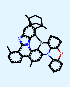 Cc1cccc2c1c1nc3cc4c(c5c3n1c1c3c(cc(C)c21)N1c2ccccc2Oc2cccc(c21)B53)C1(C)CCC4(C)CC1